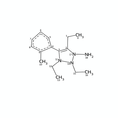 CCC1=C(c2ccccc2C)N(CC)N(CC)N1N